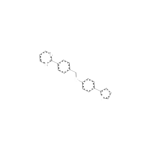 c1cnc(-c2ccc(COc3ccc(-c4cccs4)cc3)cc2)nc1